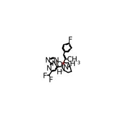 C/C(=C\c1ccc(F)cc1)C(=O)N1[C@H]2CC[C@H](c3cc(C(F)F)nc4ncnn34)[C@@H]1CC2